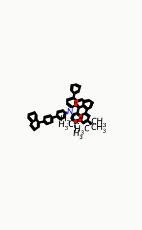 CC(C)(C)c1cc(-c2cccc3cccc(-c4ccccc4N(c4ccc(-c5ccccc5)cc4)c4ccc(-c5ccc(-c6cccc7ccccc67)cc5)cc4)c23)cc(C(C)(C)C)c1